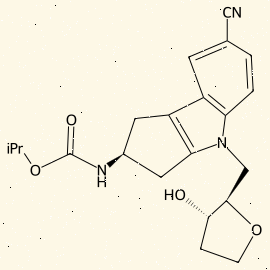 CC(C)OC(=O)N[C@H]1Cc2c(n(C[C@H]3OCC[C@@H]3O)c3ccc(C#N)cc23)C1